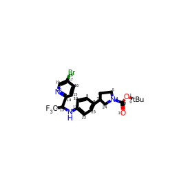 CC(C)(C)OC(=O)N1CCC(c2ccc(NC(c3ccc(Br)cn3)C(F)(F)F)cc2)C1